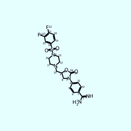 N=C(N)c1ccc(N2CC(CN3CCN(S(=O)(=O)c4ccc(F)c(F)c4)CC3)OC2=O)cc1